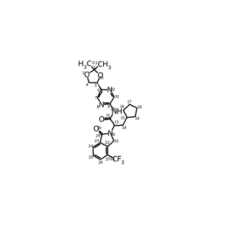 CC1(C)OC[C@H](c2cnc(NC(=O)C(CC3CCCC3)N3Cc4c(cccc4C(F)(F)F)C3=O)cn2)O1